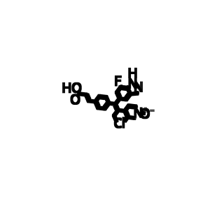 CCC(=C(c1ccc(C=CC(=O)O)cc1)c1cc(F)c2[nH]ncc2c1)c1cc[n+]([O-])cc1Cl